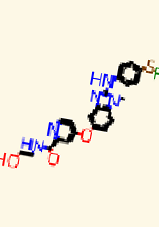 Cn1c(Nc2ccc(SF)cc2)nc2cc(Oc3ccnc(C(=O)NCCO)c3)ccc21